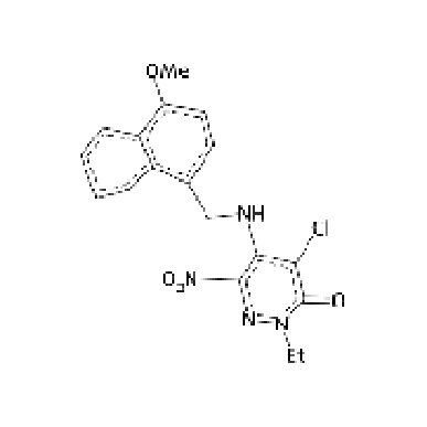 CCn1nc([N+](=O)[O-])c(NCc2ccc(OC)c3ccccc23)c(Cl)c1=O